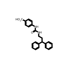 O=C(NCCC(c1ccccc1)c1ccccc1)Nc1ccc(C(=O)O)cc1